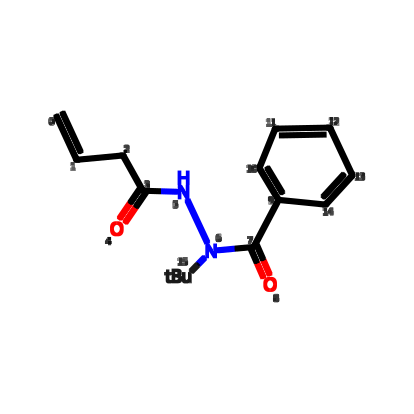 C=CCC(=O)NN(C(=O)c1ccccc1)C(C)(C)C